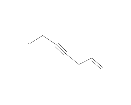 [CH2]CC#CCC=C